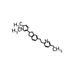 C=C1C=CC(C2Cc3ccc(CCc4ccc(CC)cn4)cc3C2)=CN1C